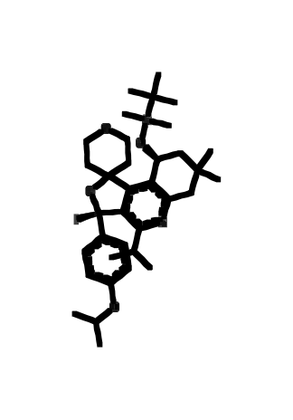 CC(C)Oc1ccc([C@]2(I)OC3(CCOCC3)c3c4c(nc(C(C)C)c32)CC(C)(C)C[C@@H]4O[Si](C)(C)C(C)(C)C)cc1